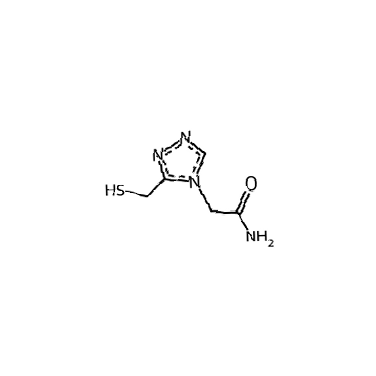 NC(=O)Cn1cnnc1CS